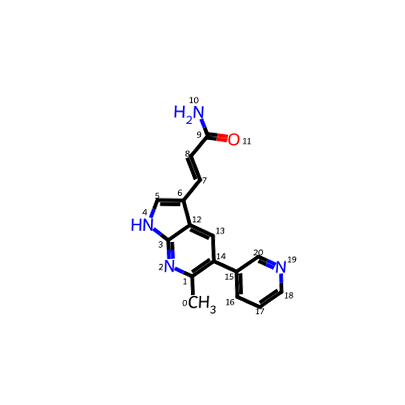 Cc1nc2[nH]cc(C=CC(N)=O)c2cc1-c1cccnc1